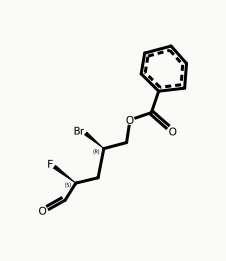 O=C[C@@H](F)C[C@@H](Br)COC(=O)c1ccccc1